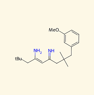 COc1cccc(CC(C)(C)CC(=N)/C=C(\N)CC(C)(C)C)c1